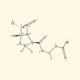 CC(OC(=O)C(C)C)OC(=O)[C@@H]1N2C(=O)[C@@H](Cl)[C@H]2SC1(C)C